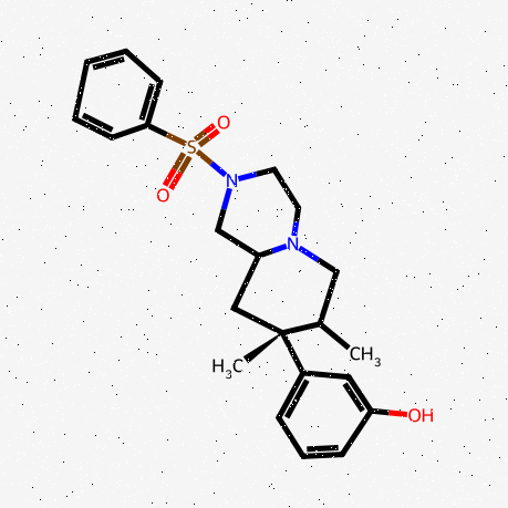 CC1CN2CCN(S(=O)(=O)c3ccccc3)CC2C[C@@]1(C)c1cccc(O)c1